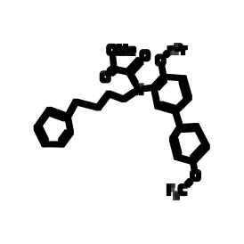 CCCOc1ccc(-c2ccc(OC(F)(F)F)cc2)cc1N(CCCCc1ccccc1)C(=O)C(=O)OC